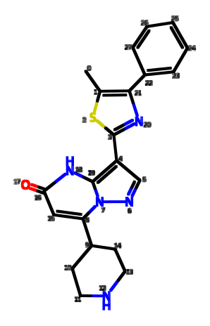 Cc1sc(-c2cnn3c(C4CCNCC4)cc(=O)[nH]c23)nc1-c1ccccc1